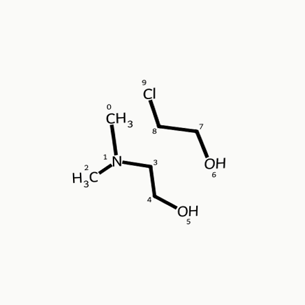 CN(C)CCO.OCCCl